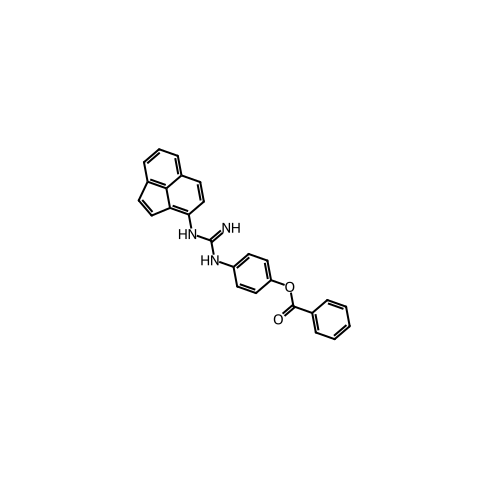 N=C(Nc1ccc(OC(=O)c2ccccc2)cc1)Nc1ccc2cccc3c2c1C=C3